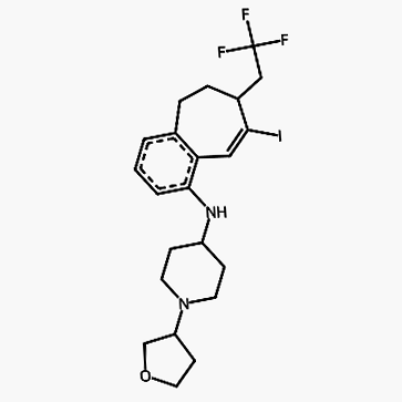 FC(F)(F)CC1CCc2cccc(NC3CCN(C4CCOC4)CC3)c2C=C1I